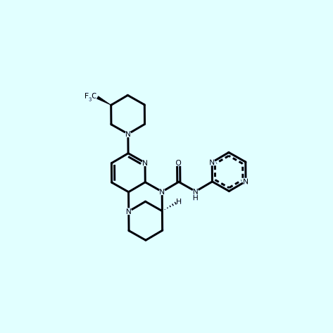 O=C(Nc1cnccn1)N1C2N=C(N3CCC[C@H](C(F)(F)F)C3)C=CC2N2CCC[C@H]1C2